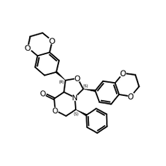 O=C1OC[C@H](c2ccccc2)N2C1[C@@H](C1C=C3OCCOC3=CC1)O[C@H]2c1ccc2c(c1)OCCO2